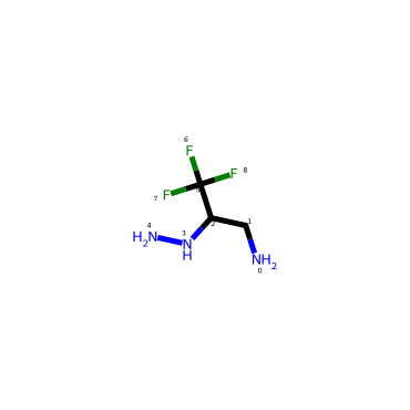 NCC(NN)C(F)(F)F